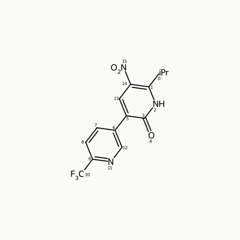 CC(C)c1[nH]c(=O)c(-c2ccc(C(F)(F)F)nc2)cc1[N+](=O)[O-]